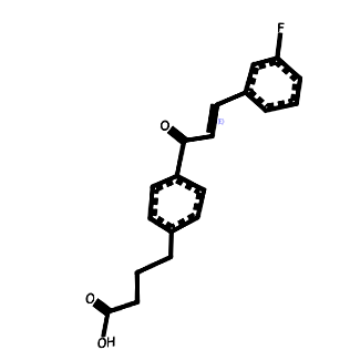 O=C(O)CCCc1ccc(C(=O)/C=C/c2cccc(F)c2)cc1